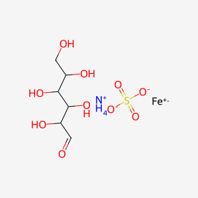 O=CC(O)C(O)C(O)C(O)CO.O=S(=O)([O-])[O-].[Fe+].[NH4+]